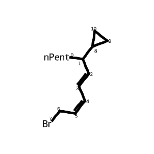 CCCCCC(/C=C/C=C\CBr)C1CC1